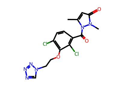 Cc1cc(=O)n(C)n1C(=O)c1ccc(Cl)c(OCCn2cnnn2)c1Cl